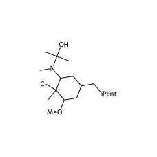 CCCC(C)CC1CC(OC)C(C)(Cl)C(N(C)C(C)(C)O)C1